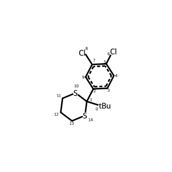 CC(C)(C)C1(c2ccc(Cl)c(Cl)c2)SCCCS1